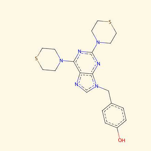 Oc1ccc(Cn2cnc3c(N4CCSCC4)nc(N4CCSCC4)nc32)cc1